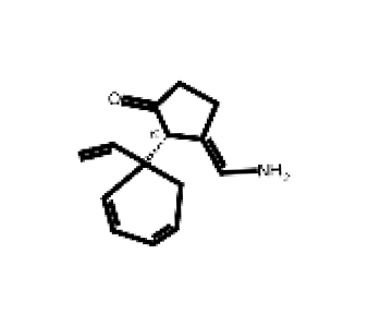 C=CC1([C@@H]2C(=O)CCC2=CN)C=CC=CC1